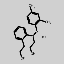 Cc1ccc(SN(CCO)c2ccccc2CCO)c(C)c1.Cl